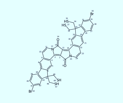 O=C1C2=C3c4cc5c(cc4C=CN3C(=O)C2=C2c3cc4c(cc3C=CN12)-c1ccc(Br)cc1C4(CS)CS)-c1ccc(Br)cc1C5(CS)CS